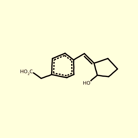 O=C(O)Cc1ccc(/C=C2/CCCC2O)cc1